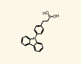 OB(O)CCc1ccc(-n2c3ccccc3c3ccccc32)cc1